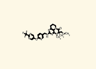 COC[C@@]1(C)C(=O)N2CCCc3nc(NCc4ccc(Oc5cnc(C(F)(F)F)nc5)nc4)nc(c32)N1C